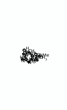 CN[C@@H](C)C(=O)N[C@H](C(=O)N1CCC[C@H]1C(=O)Nc1sc(-c2ncco2)nc1-c1cccc(CN[C@@H](C)C(=O)N[C@H](C(=O)N2CCC[C@H]2C(=O)Nc2ccccc2-c2ncc[nH]2)C2CCCCC2)c1)C1CCCCC1